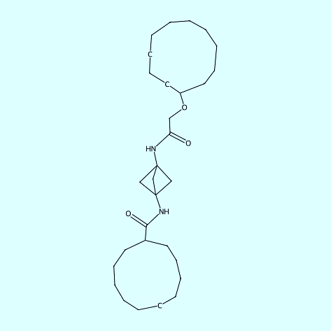 O=C(COC1CCCCCCCCCC1)NC12CC(NC(=O)C3CCCCCCCCCC3)(C1)C2